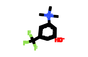 C[N+](C)(C)c1cccc(C(F)(F)F)c1.[OH-]